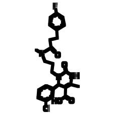 CC1=C(C(=O)O)C(c2cccc(Cl)c2)N(CCCN(C)C(=O)CCc2ccc(F)cc2)C(=O)N1